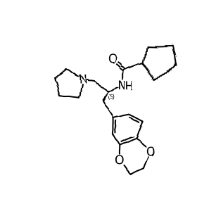 O=C(N[C@@H](Cc1ccc2c(c1)OCCO2)CN1CCCC1)C1CCCC1